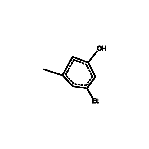 CCc1cc(C)cc(O)c1